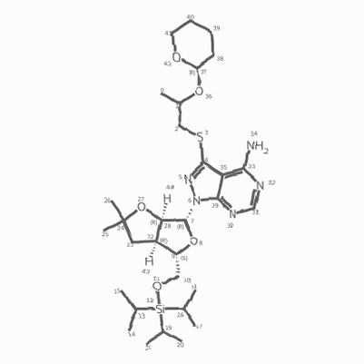 CC(CSc1nn([C@@H]2O[C@H](CO[Si](C(C)C)(C(C)C)C(C)C)[C@H]3CC(C)(C)O[C@H]32)c2ncnc(N)c12)O[C@@H]1CCCCO1